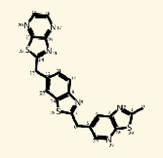 Cc1nc2cc(Cc3nc4ccc(Cc5nc6nccnc6s5)cc4s3)cnc2s1